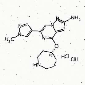 Cl.Cl.Cn1cc(-c2cn3nc(N)cc3c(O[C@@H]3CCCNCC3)n2)cn1